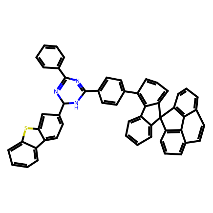 c1ccc(C2=NC(c3ccc4c(c3)sc3ccccc34)NC(c3ccc(-c4cccc5c4-c4ccccc4C54c5cccc6ccc7cccc4c7c56)cc3)=N2)cc1